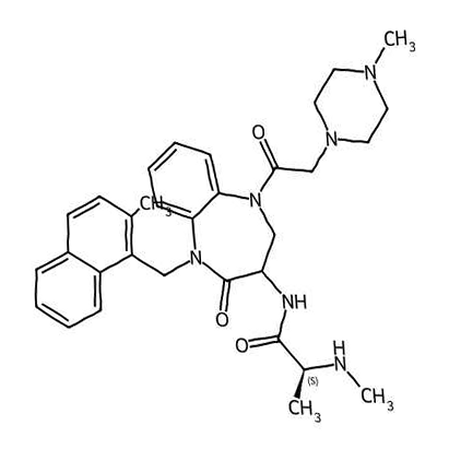 CN[C@@H](C)C(=O)NC1CN(C(=O)CN2CCN(C)CC2)c2ccccc2N(Cc2c(C)ccc3ccccc23)C1=O